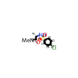 CNC(=O)[C@H](C)NS(=O)(=O)c1ccc(Cl)cc1